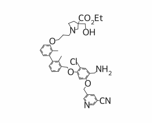 CCOC(=O)C1(CO)CCN(CCCOc2cccc(-c3cccc(COc4cc(OCc5cncc(C#N)c5)c(CN)cc4Cl)c3C)c2C)C1